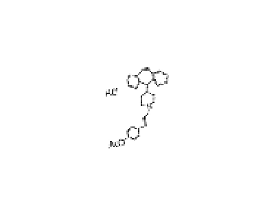 CC(=O)Oc1ccc(C=CCN2CCC(=C3c4ccccc4C=Cc4ccccc43)CC2)cc1.Cl